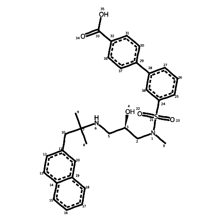 CN(C[C@H](O)CNC(C)(C)Cc1ccc2ccccc2c1)S(=O)(=O)c1cccc(-c2ccc(C(=O)O)cc2)c1